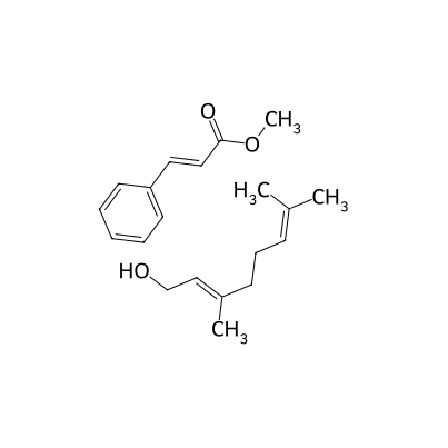 CC(C)=CCCC(C)=CCO.COC(=O)C=Cc1ccccc1